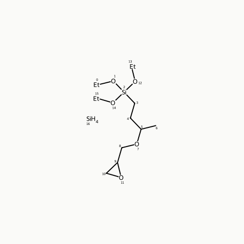 CCO[Si](CCC(C)OCC1CO1)(OCC)OCC.[SiH4]